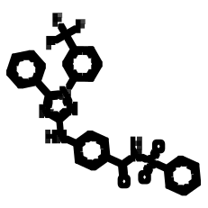 O=C(NS(=O)(=O)c1ccccc1)c1ccc(Nc2nc(-c3ccccc3)n(-c3cccc(C(F)(F)F)c3)n2)cc1